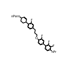 CCCCCC1C=CC(c2ccc(CCCOc3ccc(-c4ccc(CCC)c(F)c4F)cc3F)cc2F)CC1